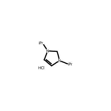 CC(C)N1C=CN(C(C)C)C1.Cl